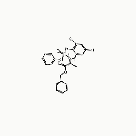 C[C@H](NP(=O)(Oc1ccccc1)Oc1c(Cl)cc(Cl)cc1Cl)C(=O)OCc1ccccc1